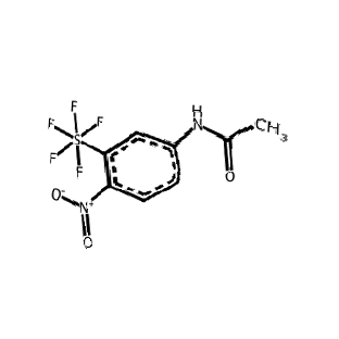 CC(=O)Nc1ccc([N+](=O)[O-])c(S(F)(F)(F)(F)F)c1